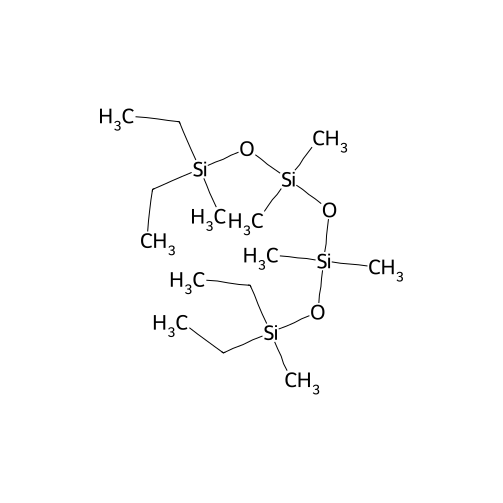 CC[Si](C)(CC)O[Si](C)(C)O[Si](C)(C)O[Si](C)(CC)CC